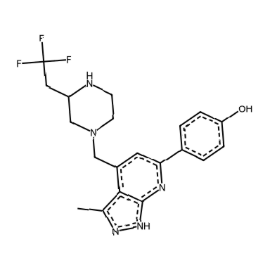 Cc1n[nH]c2nc(-c3ccc(O)cc3)cc(CN3CCNC(CC(F)(F)F)C3)c12